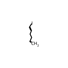 C=CCCC=CI